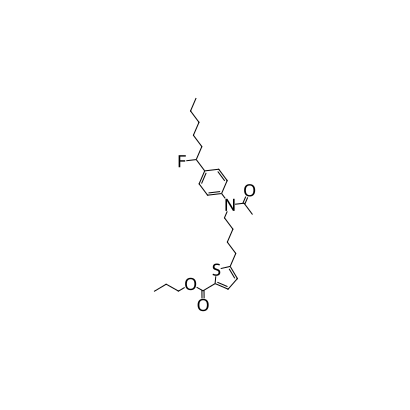 CCCCCC(F)c1ccc(N(CCCCc2ccc(C(=O)OCCC)s2)C(C)=O)cc1